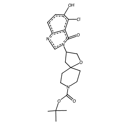 CC(C)(C)OC(=O)N1CCC2(CC1)CC(n1cnc3ccc(O)c(Cl)c3c1=O)CO2